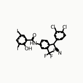 N#CC(c1ccc(Cl)c(Cl)c1)c1ccc(NC(=O)c2cc(I)cc(I)c2O)cc1C(F)(F)F